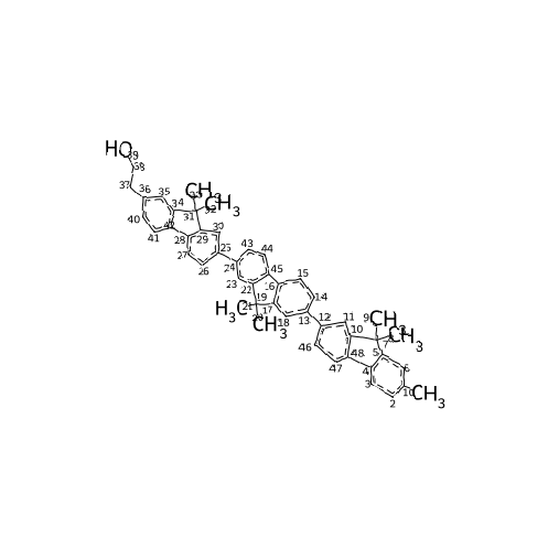 Cc1ccc2c(c1)C(C)(C)c1cc(-c3ccc4c(c3)C(C)(C)c3cc(-c5ccc6c(c5)C(C)(C)c5cc(CCO)ccc5-6)ccc3-4)ccc1-2